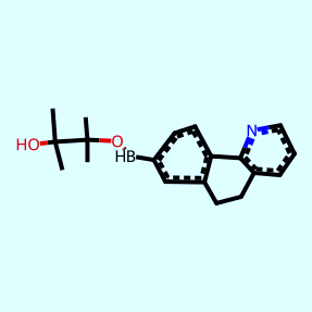 CC(C)(O)C(C)(C)OBc1ccc2c(c1)CCc1cccnc1-2